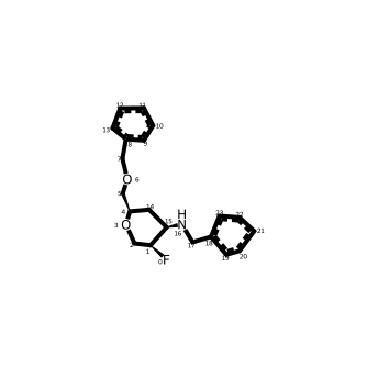 F[C@H]1CO[C@@H](COCc2ccccc2)C[C@H]1NCc1ccccc1